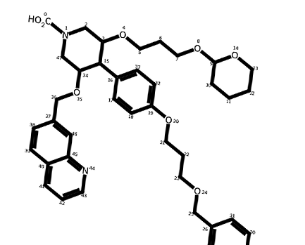 O=C(O)N1CC(OCCCOC2CCCCO2)C(c2ccc(OCCCOCc3ccccc3)cc2)C(OCc2ccc3cccnc3c2)C1